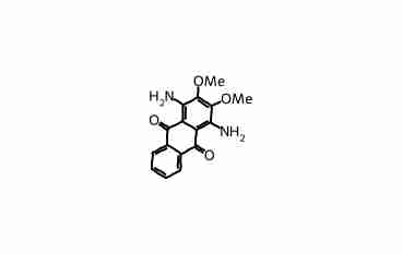 COc1c(N)c2c(c(N)c1OC)C(=O)c1ccccc1C2=O